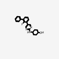 OC1CCC(Nc2ncc(-c3cccc(-c4ccccc4)c3F)cn2)CC1